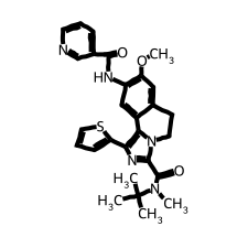 COc1cc2c(cc1NC(=O)c1cccnc1)-c1c(-c3cccs3)nc(C(=O)N(C)C(C)(C)C)n1CC2